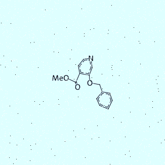 COC(=O)c1ccncc1OCc1ccccc1